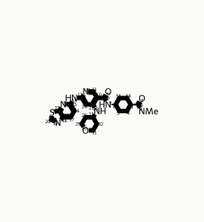 CNC(=O)[C@H]1CC[C@H](NC(=O)c2cnc(Nc3ccc4ncsc4n3)cc2NC2CCOCC2)CC1